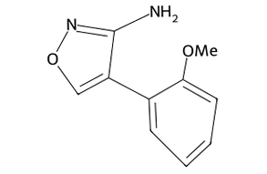 COc1ccccc1-c1conc1N